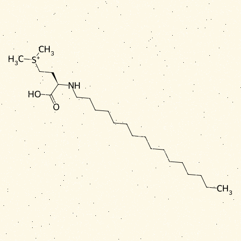 CCCCCCCCCCCCCCCCN[C@H](CC[S+](C)C)C(=O)O